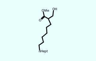 CCCCCCCCCCCCCC(CO)C(=O)OC